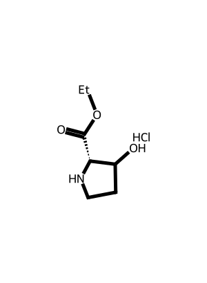 CCOC(=O)[C@H]1NCCC1O.Cl